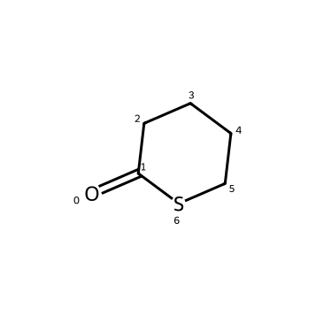 O=C1CCCCS1